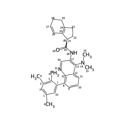 Cc1cc(C)c(P)c(-c2cccc3c(N(C)C)c(NC(=O)[C@@H]4CCC5=C4C=CCC5)cnc23)c1